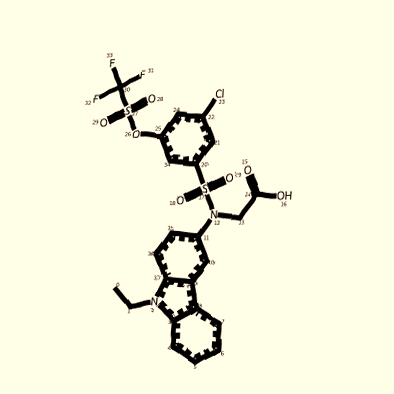 CCn1c2ccccc2c2cc(N(CC(=O)O)S(=O)(=O)c3cc(Cl)cc(OS(=O)(=O)C(F)(F)F)c3)ccc21